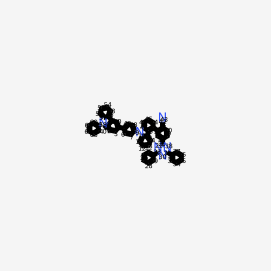 CC12C=CC(c3ccc(-n4c5ccccc5c5c(-c6cc(-c7nc(-c8ccccc8)nc(-c8ccccc8)n7)ccc6C#N)cccc54)cc3)=CC1c1ccccc1N2c1ccccc1